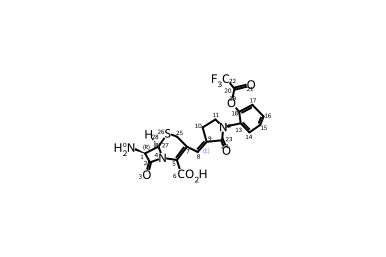 N[C@@H]1C(=O)N2C(C(=O)O)=C(/C=C3\CCN(c4ccccc4OC(=O)C(F)(F)F)C3=O)CS[C@H]12